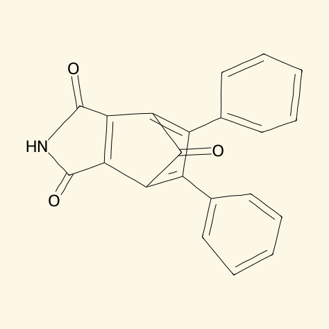 O=c1[nH]c(=O)c2c3c(=O)c(c1=2)=C(c1ccccc1)C=3c1ccccc1